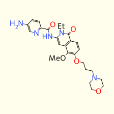 CCn1c(NC(=O)c2ccc(N)cn2)cc2c(OC)c(OCCCN3CCOCC3)ccc2c1=O